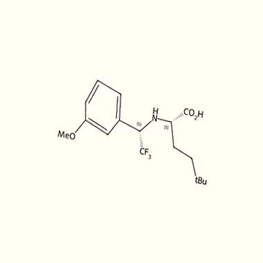 COc1cccc([C@H](N[C@@H](CCC(C)(C)C)C(=O)O)C(F)(F)F)c1